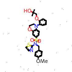 COc1ccc(CN(c2nccs2)S(=O)(=O)c2ccc3c(c2)OCCN3c2ccccc2OCC(C)(C)O)cc1